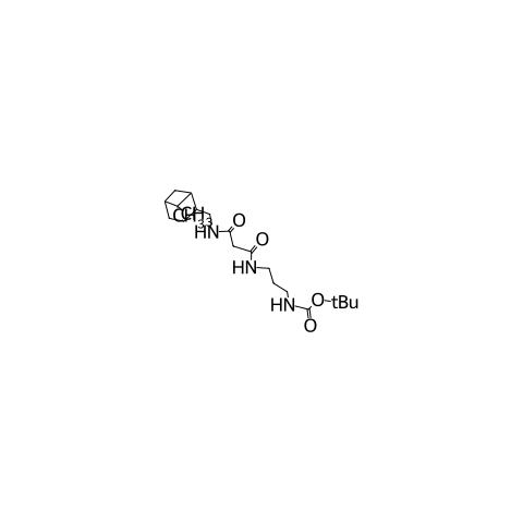 CC(C)(C)OC(=O)NCCCNC(=O)CC(=O)NCC1CCC2CC1C2(C)C